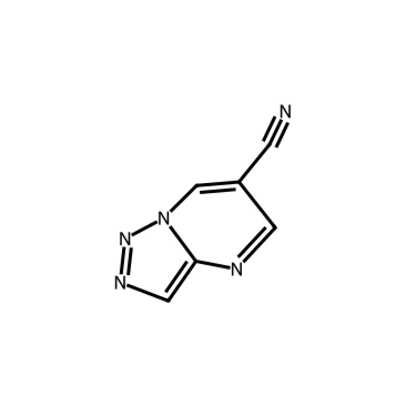 N#Cc1cnc2cnnn2c1